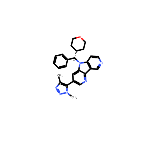 Cc1nnn(C)c1-c1cnc2c3cnccc3n([C@H](c3ccccc3)C3CCOCC3)c2c1